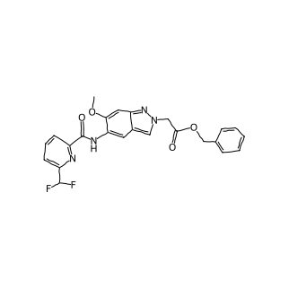 COc1cc2nn(CC(=O)OCc3ccccc3)cc2cc1NC(=O)c1cccc(C(F)F)n1